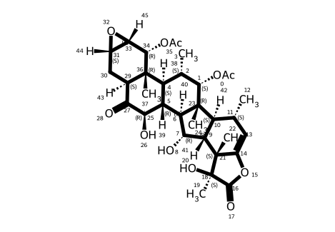 CC(=O)O[C@H]1[C@@H](C)[C@H]2[C@H]([C@@H]3[C@@H](O)[C@@H]4[C@H]([C@H](C)C=C5OC(=O)[C@@](C)(O)[C@@]54C)[C@]31C)[C@@H](O)C(=O)[C@H]1C[C@@H]3O[C@@H]3[C@H](OC(C)=O)[C@]21C